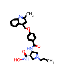 CCCN1C[C@H](C(=O)NO)[C@H](NC(=O)c2ccc(OCc3cc(C)nc4ccccc34)cc2)C1